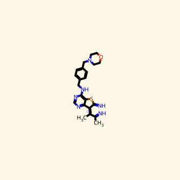 CC(=N)/C(C)=C1\C(=N)Sc2c(NCc3ccc(CN4CCOCC4)cc3)ncnc21